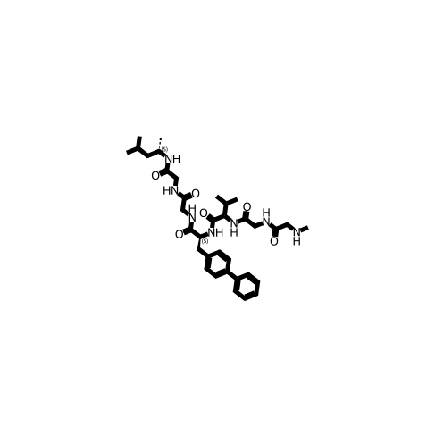 CNCC(=O)NCC(=O)NC(C(=O)N[C@@H](Cc1ccc(-c2ccccc2)cc1)C(=O)NCC(=O)NCC(=O)N[C@@H](C)CC(C)C)C(C)C